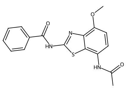 COc1ccc(NC(C)=O)c2sc(NC(=O)c3ccccc3)nc12